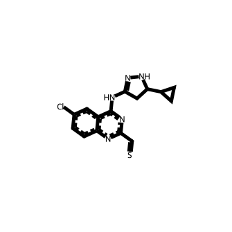 S=Cc1nc(NC2=NNC(C3CC3)C2)c2cc(Cl)ccc2n1